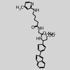 Cc1ccnc(NCCCCC(=O)NCC(=O)NC(CC(=O)[O-])c2ccc(-c3ccc4ccccc4c3)cc2)c1.[Na+]